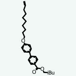 C=CCCCCCCCCOc1ccc(-c2ccc(C(=O)OCC(C)CC)cc2)cc1